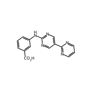 O=C(O)c1cccc(Nc2ncc(-c3ncccn3)cn2)c1